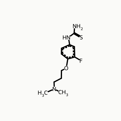 CN(C)CCCOc1ccc(NC(N)=S)cc1F